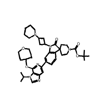 CC(C)n1cnc2cc(-c3ccc4c(c3)N(C3CC(N5CCCCC5)C3)C(=O)C43CCN(C(=O)OC(C)(C)C)CC3)nc(OC3CCOCC3)c21